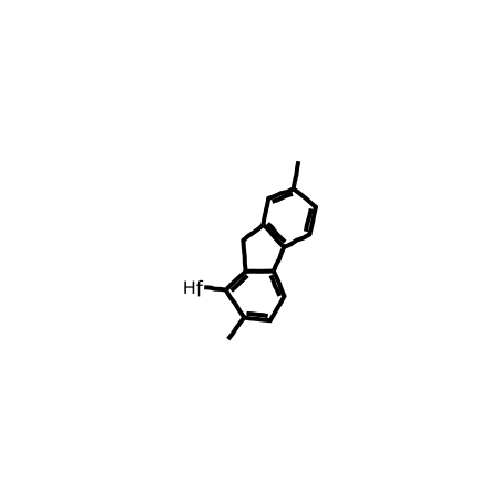 Cc1ccc2c(c1)Cc1c-2ccc(C)[c]1[Hf]